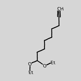 C#CCCCCCCC(OCC)OCC